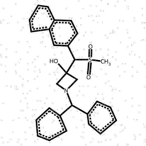 CS(=O)(=O)C(c1ccc2ccccc2c1)C1(O)CN(C(c2ccccc2)c2ccccc2)C1